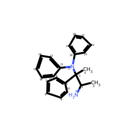 CC(N)C(C)(c1ccccc1)N(c1ccccc1)c1ccccc1